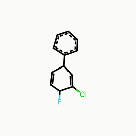 F[C]1C=CC(c2ccccc2)C=C1Cl